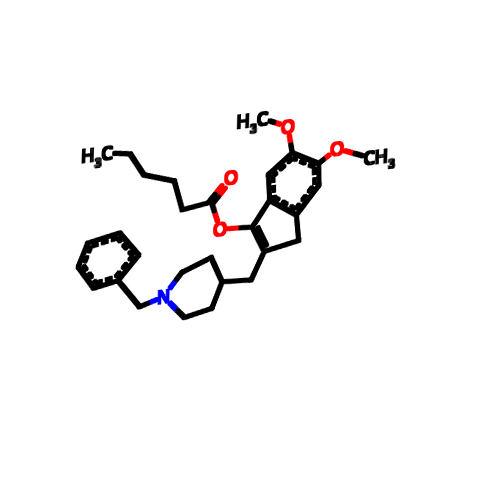 CCCCCC(=O)OC1=C(CC2CCN(Cc3ccccc3)CC2)Cc2cc(OC)c(OC)cc21